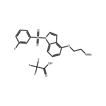 CNCCOc1cccc2c1ccn2S(=O)(=O)c1cccc(F)c1.O=C(O)C(F)(F)F